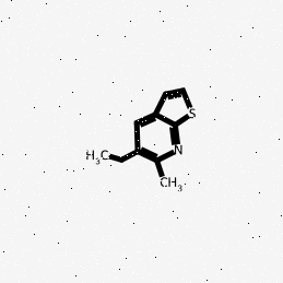 CCc1cc2ccsc2nc1C